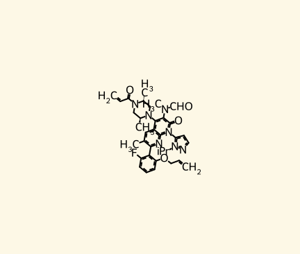 C=CCOc1cccc(F)c1-c1nc2c(cc1C)c(N1C[C@@H](C)N(C(=O)C=C)C[C@@H]1C)c(N(C)C=O)c(=O)n2-c1ccnn1C(C)C